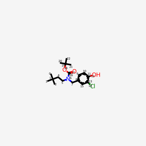 CC(C)(C)CCN(Cc1ccc(O)c(Cl)c1)C(=O)OC(C)(C)C